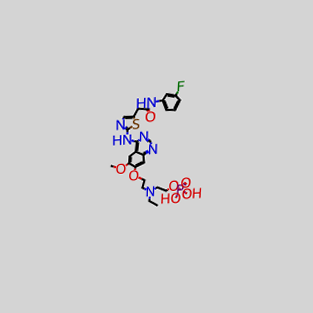 CCN(CCOc1cc2ncnc(Nc3ncc(CC(=O)Nc4cccc(F)c4)s3)c2cc1OC)CCOP(=O)(O)O